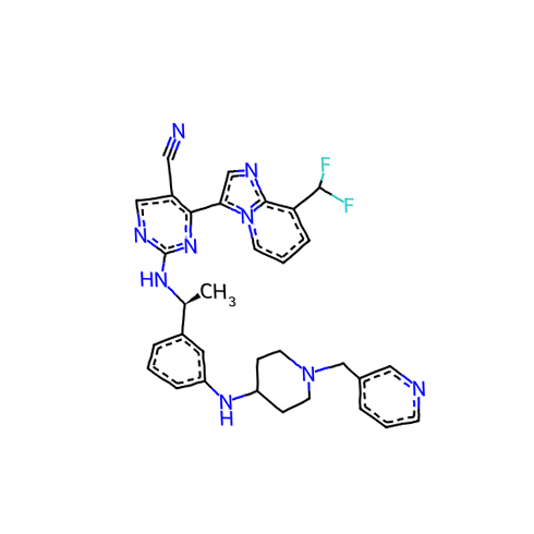 C[C@H](Nc1ncc(C#N)c(-c2cnc3c(C(F)F)cccn23)n1)c1cccc(NC2CCN(Cc3cccnc3)CC2)c1